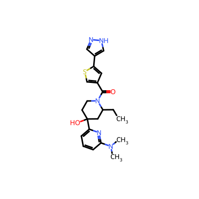 CCC1CC(O)(c2cccc(N(C)C)n2)CCN1C(=O)c1csc(-c2cn[nH]c2)c1